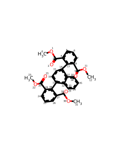 COC(=O)c1cccc(C(=O)OC)c1-c1ccc(-c2c(C(=O)OC)cccc2C(=O)OC)c2ccccc12